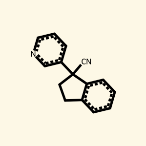 N#CC1(c2cccnc2)CCc2ccccc21